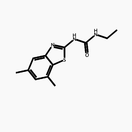 CCNC(=O)Nc1nc2cc(C)cc(C)c2s1